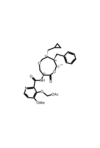 COc1ccnc(C(=O)N[C@H]2COC[C@H](CC3CC3)[C@@H](Cc3ccccc3)[C@H](C)OC2=O)c1OCOC(C)=O